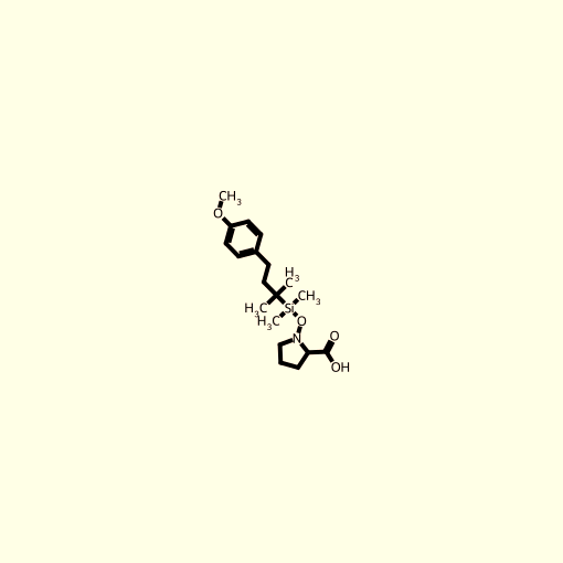 COc1ccc(CCC(C)(C)[Si](C)(C)ON2CCCC2C(=O)O)cc1